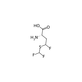 N[C@@H](CC(F)SC(F)F)C(=O)O